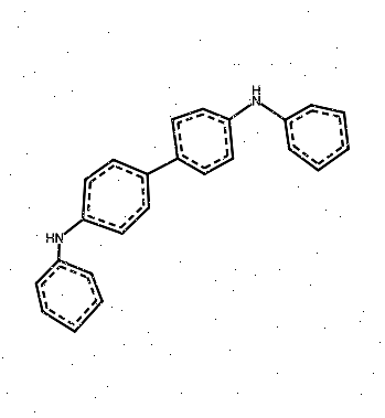 c1ccc(Nc2ccc(-c3ccc(Nc4ccccc4)cc3)cc2)cc1